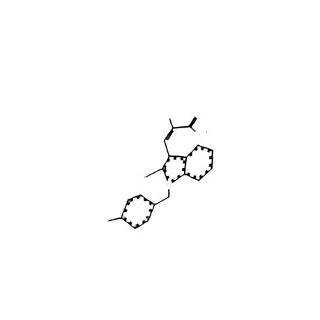 CCOC(=O)/C(=C/c1c(Cl)n(Cc2ccc(Cl)cc2)c2ccccc12)C(=O)NC